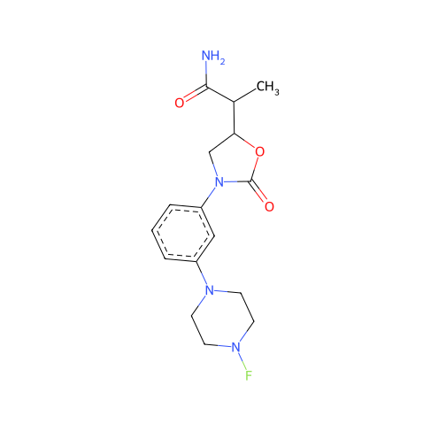 CC(C(N)=O)C1CN(c2cccc(N3CCN(F)CC3)c2)C(=O)O1